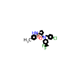 Cc1ccc([S@@](=N)(=O)[C@@H]2CCC[C@H]2C(=O)N(Cc2ccc(Cl)cc2)C2CCC3(CC2)CC3(F)F)cc1